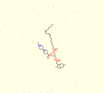 CCCCC/C=C\C/C=C\CCCCCCCC(=O)OCC(COC(=O)CC1C(C)CC2CC(C)CC1C2)COC(=O)C1CCN(C2CCN(CC)CC2)CC1